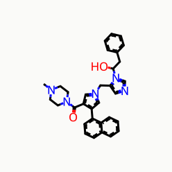 CN1CCN(C(=O)c2cn(Cc3cncn3C(O)Cc3ccccc3)cc2-c2cccc3ccccc23)CC1